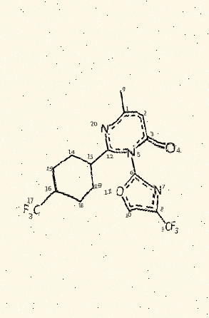 Cc1cc(=O)n(-c2nc(C(F)(F)F)co2)c(C2CCC(C(F)(F)F)CC2)n1